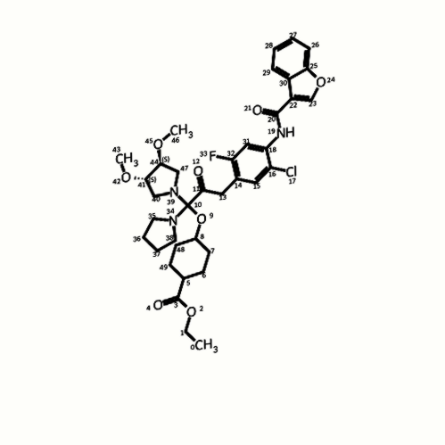 CCOC(=O)C1CCC(OC(C(=O)Cc2cc(Cl)c(NC(=O)c3coc4ccccc34)cc2F)(N2CCCC2)N2C[C@H](OC)[C@@H](OC)C2)CC1